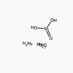 O.[O]=[Sn]([OH])[OH].[PbH2].[PbH2]